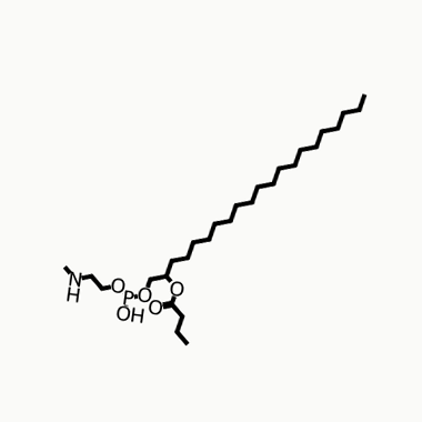 CCCCCCCCCCCCCCCCCCCC(COP(O)OCCNC)OC(=O)CCC